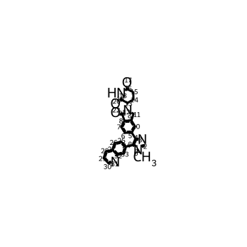 Cn1cnc(-c2ccc3c(c2)CN([C@H]2CCC(=O)NC2=O)C3=O)c1-c1ccc2cccnc2c1